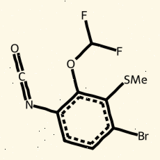 CSc1c(Br)ccc(N=C=O)c1OC(F)F